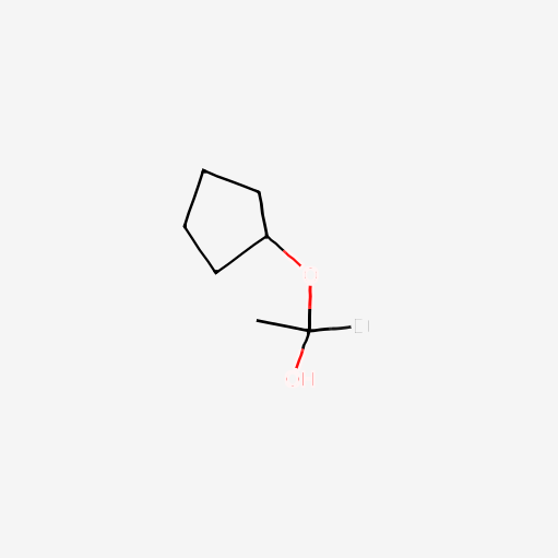 [CH2]C(O)(CC)OC1CCCC1